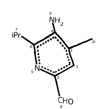 Cc1cc(C=O)nc(C(C)C)c1N